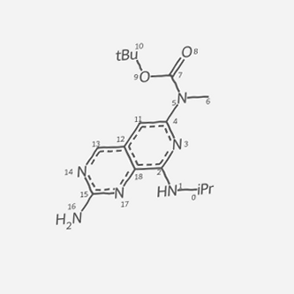 CC(C)Nc1nc(N(C)C(=O)OC(C)(C)C)cc2cnc(N)nc12